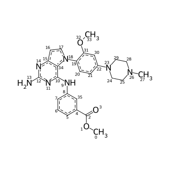 COC(=O)c1cccc(Nc2nc(N)nc3ccn(-c4ccc(N5CCN(C)CC5)cc4OC)c23)c1